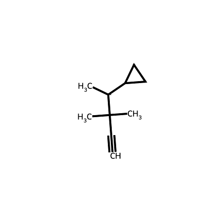 C#CC(C)(C)[C](C)C1CC1